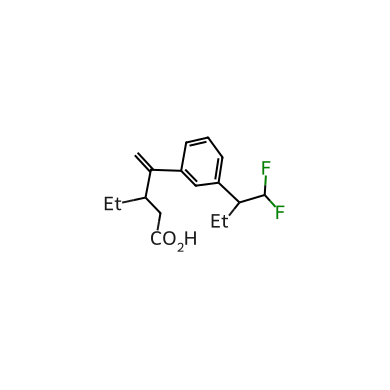 C=C(c1cccc(C(CC)C(F)F)c1)C(CC)CC(=O)O